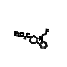 CCOC(=O)C1CCC2c3ccccc3N(CCF)C2C1